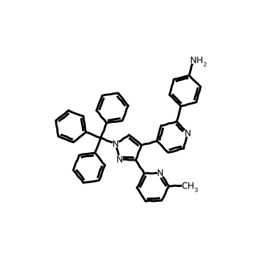 Cc1cccc(-c2nn(C(c3ccccc3)(c3ccccc3)c3ccccc3)cc2-c2ccnc(-c3ccc(N)cc3)c2)n1